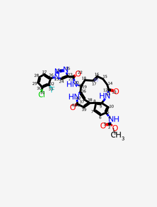 COC(=O)Nc1ccc2c(c1)NC(=O)CC/C=C/C[C@H](NC(=O)c1cn(-c3cccc(Cl)c3F)nn1)c1cc-2cc(=O)[nH]1